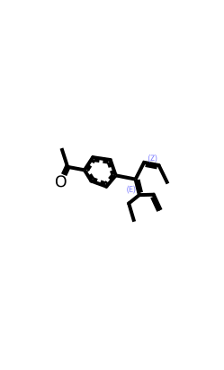 C=C/C(CC)=C(\C=C/C)c1ccc(C(C)=O)cc1